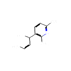 C/C=C\C(C)c1ccc(C)nc1C